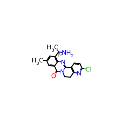 Cc1cc([C@@H](C)N)c2nc3n(c(=O)c2c1)CCc1nc(Cl)ccc1-3